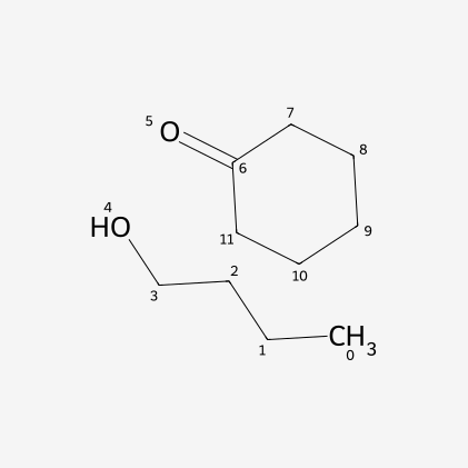 CCCCO.O=C1CCCCC1